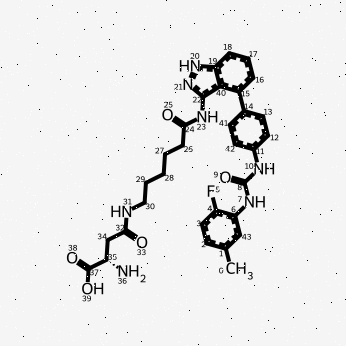 Cc1ccc(F)c(NC(=O)Nc2ccc(-c3cccc4[nH]nc(NC(=O)CCCCCNC(=O)C[C@H](N)C(=O)O)c34)cc2)c1